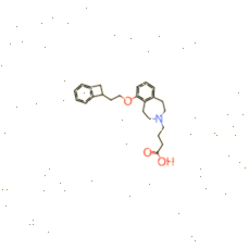 O=C(O)CCCN1CCc2cccc(OCCC3Cc4ccccc43)c2CC1